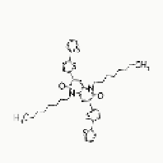 CCCCCCCCn1c(=O)c(-c2ccc(-c3cccs3)s2)cc2c1cc(-c1ccc(-c3cccs3)s1)c(=O)n2CCCCCCCC